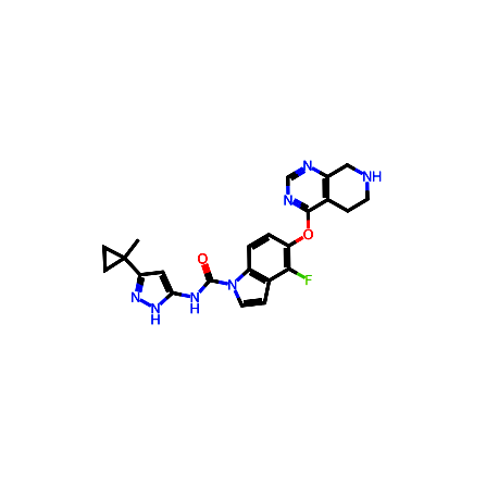 CC1(c2cc(NC(=O)n3ccc4c(F)c(Oc5ncnc6c5CCNC6)ccc43)[nH]n2)CC1